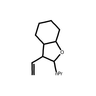 C=CC1C(CCC)OC2CCCCC21